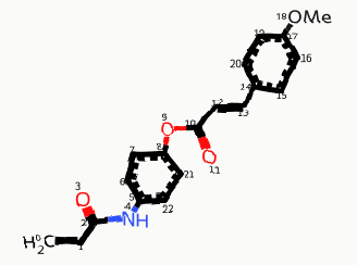 C=CC(=O)Nc1ccc(OC(=O)C=Cc2ccc(OC)cc2)cc1